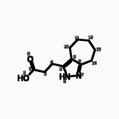 O=C(O)CCc1[nH]nc2c1CCCCC2